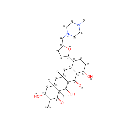 CC(=O)C1C(=O)C2(C)C(O)C3C(=O)C4C(O)CCC(C5CCC(CN6CCN(C)CC6)O5)C4CC3(C)CC2(C)CC1O